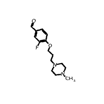 CN1CCN(CCCOc2ccc(C=O)cc2F)CC1